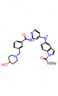 CNC(=O)n1ccc2cc(N(C)c3ccnc(NC(=O)c4cccc(CN5CCC(O)CC5)c4)c3)ccc21